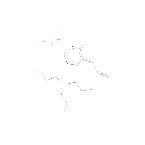 C=CCc1ccccc1O.O=P(O)(O)O.OCCN(CCO)CCO